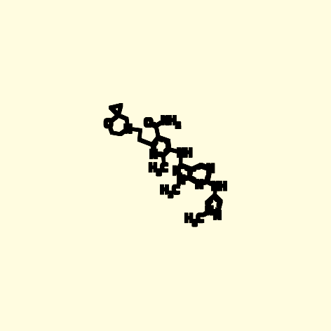 Cc1nc(CCN2CCOC3(CC3)C2)c(C(N)=O)cc1Nc1nn(C)c2nc(Nc3cnn(C)c3)ncc12